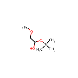 [CH2]CCOCC(O)O[Si](C)(C)C